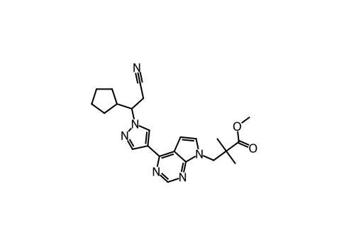 COC(=O)C(C)(C)Cn1ccc2c(-c3cnn(C(CC#N)C4CCCC4)c3)ncnc21